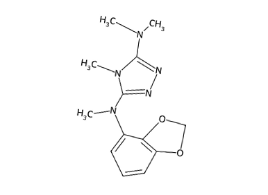 CN(C)c1nnc(N(C)c2cccc3c2OCO3)n1C